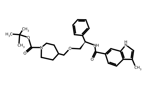 Cc1c[nH]c2cc(C(=O)N[C@@H](COCC3CCN(C(=O)OC(C)(C)C)CC3)c3ccccc3)ccc12